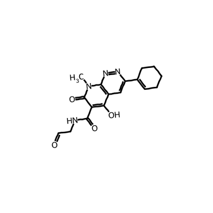 Cn1c(=O)c(C(=O)NCC=O)c(O)c2cc(C3=CCCCC3)nnc21